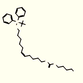 CCCCCNC(=O)NCCCC/C=C\CCCCCO[Si](c1ccccc1)(c1ccccc1)C(C)(C)C